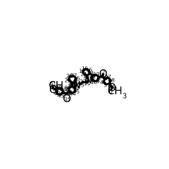 COc1ccc(C(=O)c2ccc3c(c2)c2ccccc2n3CCCn2c3ccccc3c3cc(C(=O)c4ccc(OC)cc4)ccc32)cc1